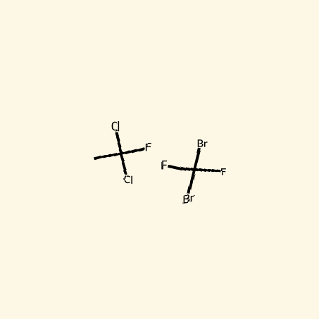 CC(F)(Cl)Cl.FC(F)(Br)Br